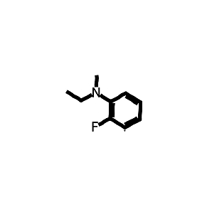 CCN(C)c1ccc[c]c1F